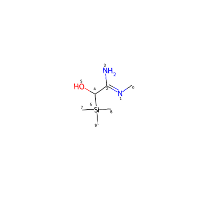 CN=C(N)C(O)[Si](C)(C)C